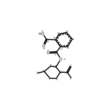 C=C(C)C1CCC(C)CC1OC(=O)c1ccccc1C(=O)O